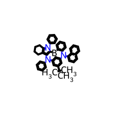 CC(C)(C)c1cc2c3c(c1)N(c1cccc4ccccc14)c1ccccc1B3c1c(c3c(n1-c1ccccc1)CCCC3)N2c1ccccc1